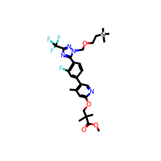 COC(=O)C(C)(C)COc1cc(C)c(-c2ccc(-c3nc(C(F)(F)F)nn3COCC[Si](C)(C)C)c(F)c2)cn1